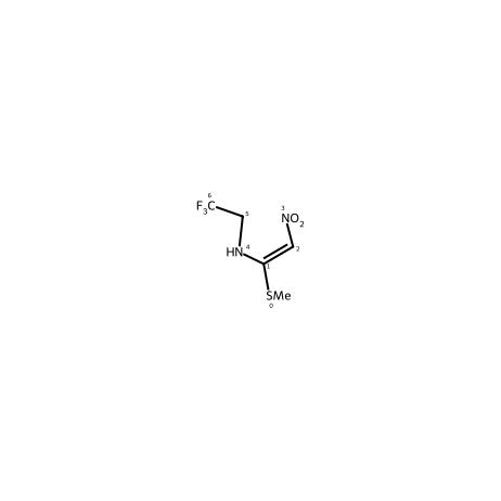 CSC(=C[N+](=O)[O-])NCC(F)(F)F